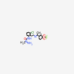 CC(=NCCc1c(Cl)cccc1NC(=O)N(C)N)c1ccc2c(c1)OC(F)(F)O2